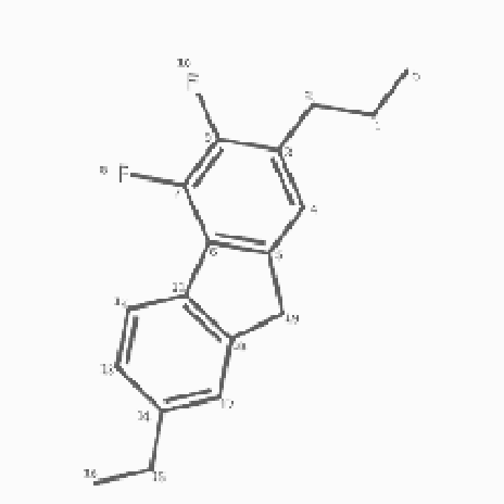 CCCc1cc2c(c(F)c1F)-c1ccc(CC)cc1C2